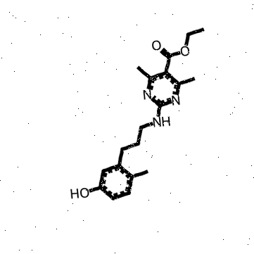 CCOC(=O)c1c(C)nc(NCCCc2cc(O)ccc2C)nc1C